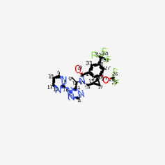 CC(c1ncnn1-c1ncccn1)N(CC1CC1)C(=O)c1cc(OC(F)F)cc(C(F)(F)F)c1